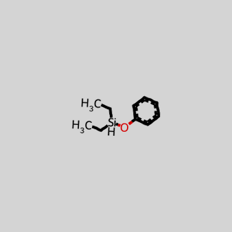 CC[SiH](CC)Oc1ccccc1